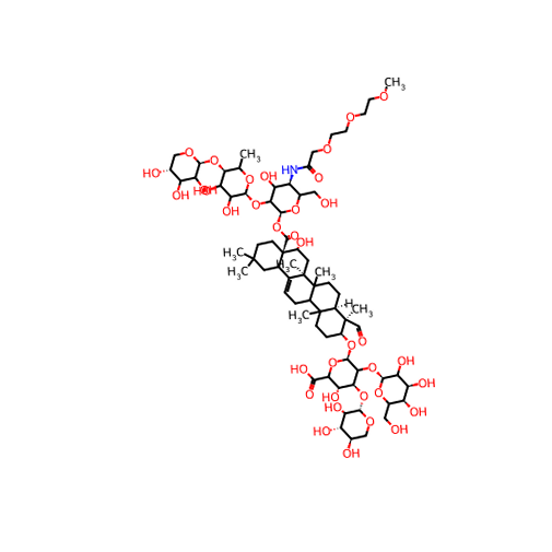 COCCOCCOCC(=O)N[C@H]1C(CO)O[C@@H](OC(=O)[C@]23CCC(C)(C)CC2C2=CCC4C5(C)CC[C@H](O[C@@H]6OC(C(=O)O)[C@@H](O)[C@H](O[C@@H]7OC[C@@H](O)[C@H](O)C7O)C6O[C@@H]6OC(CO)[C@H](O)[C@H](O)C6O)[C@](C)(C=O)[C@@H]5CCC4(C)[C@]2(C)CC3O)C(O[C@@H]2OC(C)[C@H](O[C@@H]3OC[C@@H](O)C(O)C3O)C(O)C2O)C1O